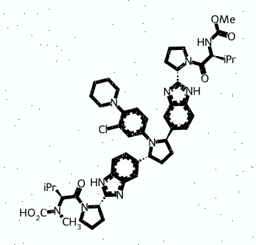 COC(=O)N[C@H](C(=O)N1CCC[C@H]1c1nc2cc([C@H]3CC[C@H](c4ccc5[nH]c([C@@H]6CCCN6C(=O)[C@H](C(C)C)N(C)C(=O)O)nc5c4)N3c3ccc(N4CCCCC4)c(Cl)c3)ccc2[nH]1)C(C)C